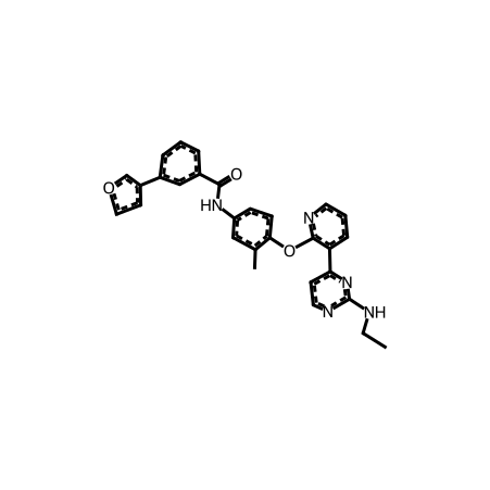 CCNc1nccc(-c2cccnc2Oc2ccc(NC(=O)c3cccc(-c4ccoc4)c3)cc2C)n1